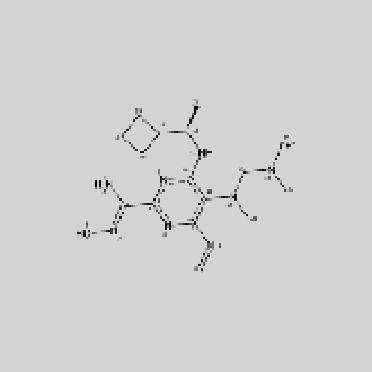 C=Nc1nc(/C(N)=N/O)nc(N[C@H](C)C2CCC2)c1N(C)CN(C)CCC